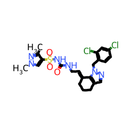 Cc1nn(C)cc1S(=O)(=O)NC(=O)NCC=C1CCCc2cnn(Cc3ccc(Cl)cc3Cl)c21